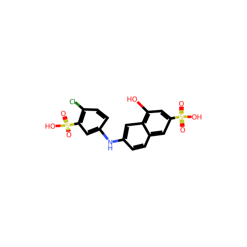 O=S(=O)(O)c1cc(O)c2cc(Nc3ccc(Cl)c(S(=O)(=O)O)c3)ccc2c1